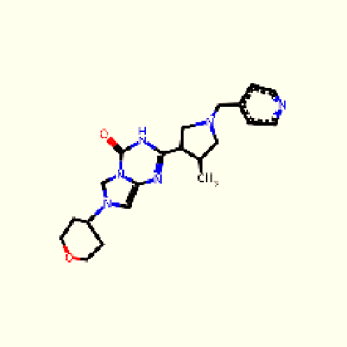 CC1CN(Cc2ccncc2)CC1C1=NC2=CN(C3CCOCC3)CN2C(=O)N1